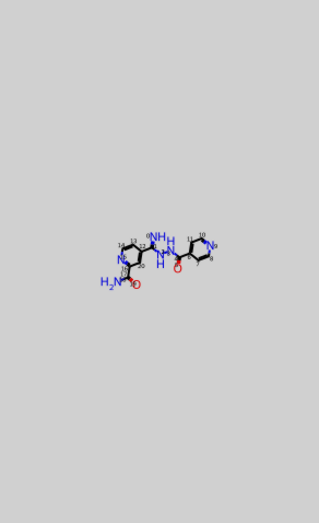 N=C(NNC(=O)c1ccncc1)c1ccnc(C(N)=O)c1